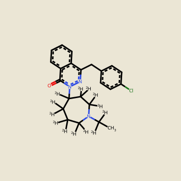 [2H]C([2H])(C)N1C([2H])([2H])C([2H])([2H])C([2H])([2H])C([2H])(n2nc(Cc3ccc(Cl)cc3)c3ccccc3c2=O)C([2H])([2H])C1([2H])[2H]